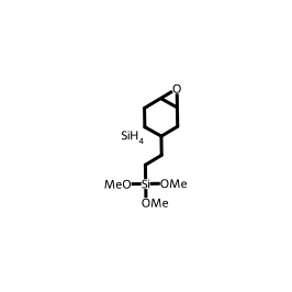 CO[Si](CCC1CCC2OC2C1)(OC)OC.[SiH4]